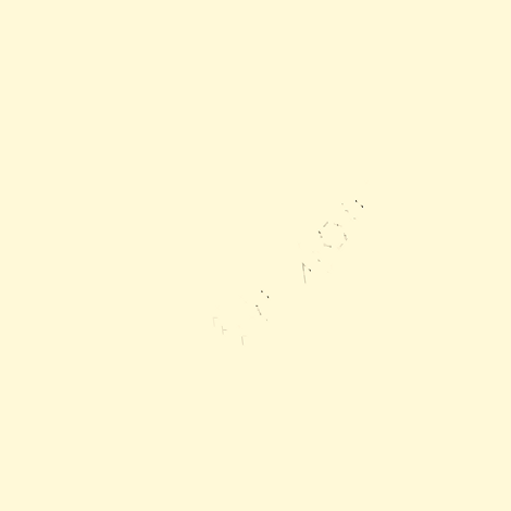 O=C(OC(C(F)(F)F)C(F)(F)F)N1CCC(CNS(=O)(=O)c2ccc(S(=O)(=O)N3CCCC3)cc2)CC1